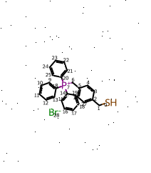 SCc1ccc(C[P+](c2ccccc2)(c2ccccc2)c2ccccc2)cc1.[Br-]